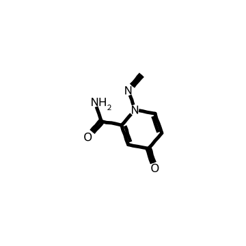 C=Nn1ccc(=O)cc1C(N)=O